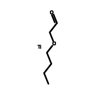 CCCCOCC=O.[Ti]